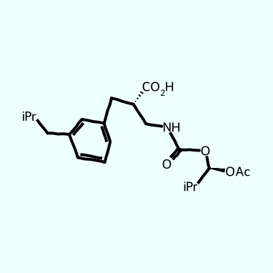 CC(=O)O[C@H](OC(=O)NC[C@H](Cc1cccc(CC(C)C)c1)C(=O)O)C(C)C